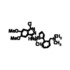 COc1cc2c(Cl)nnc(N[C@@H](C)[SH]3C=CC=C3c3ccccc3CN(C)C)c2cc1OC